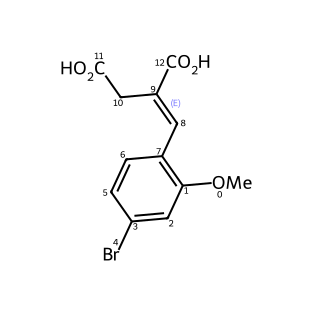 COc1cc(Br)ccc1/C=C(\CC(=O)O)C(=O)O